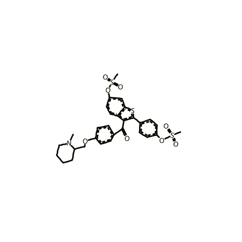 CN1CCCCC1COc1ccc(C(=O)c2c(-c3ccc(OS(C)(=O)=O)cc3)sc3cc(OS(C)(=O)=O)ccc23)cc1